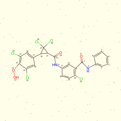 O=C(Nc1ccccc1)c1cc(NC(=O)C2C(c3cc(Cl)c(OO)c(Cl)c3)C2(Cl)Cl)ccc1Cl